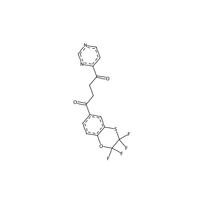 O=C(CCC(=O)c1ccncn1)c1ccc2c(c1)SC(F)(F)C(F)(F)O2